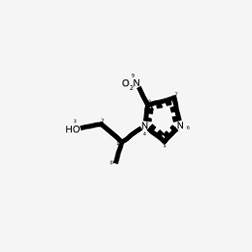 CC(CO)n1cncc1[N+](=O)[O-]